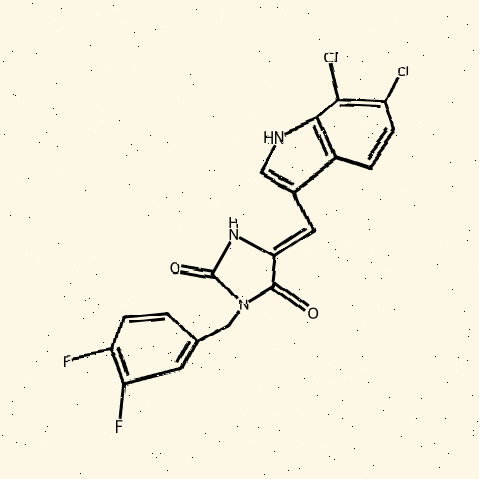 O=C1N/C(=C\c2c[nH]c3c(Cl)c(Cl)ccc23)C(=O)N1Cc1ccc(F)c(F)c1